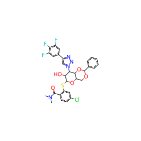 CN(C)C(=O)c1ccc(Cl)cc1SC1OC2COC(c3ccccc3)OC2C(n2cc(-c3cc(F)c(F)c(F)c3)nn2)C1O